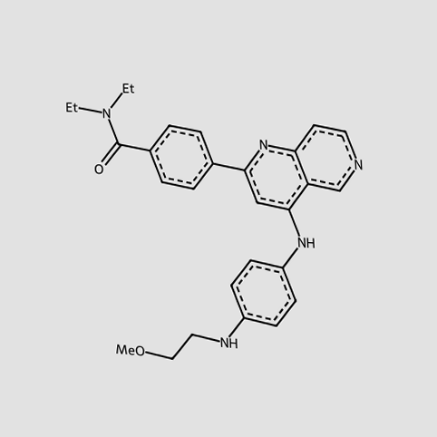 CCN(CC)C(=O)c1ccc(-c2cc(Nc3ccc(NCCOC)cc3)c3cnccc3n2)cc1